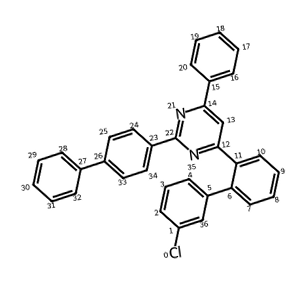 Clc1cccc(-c2ccccc2-c2cc(-c3ccccc3)nc(-c3ccc(-c4ccccc4)cc3)n2)c1